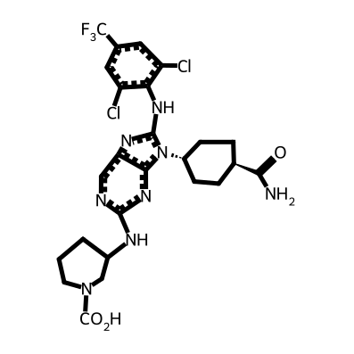 NC(=O)[C@H]1CC[C@H](n2c(Nc3c(Cl)cc(C(F)(F)F)cc3Cl)nc3cnc(NC4CCCN(C(=O)O)C4)nc32)CC1